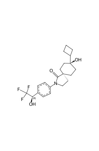 O=C1N(c2ccc([C@@H](O)C(F)(F)F)cc2)CC[C@]12CC[C@@](O)(C1CCC1)CC2